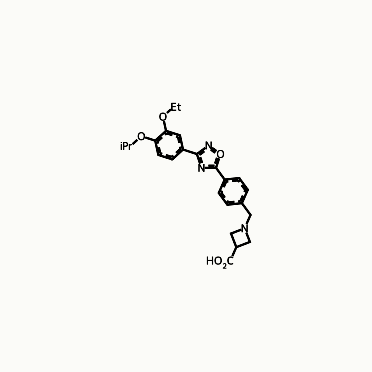 CCOc1cc(-c2noc(-c3ccc(CN4CC(C(=O)O)C4)cc3)n2)ccc1OC(C)C